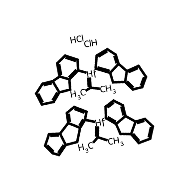 C[C](C)=[Hf]([c]1cccc2c1Cc1ccccc1-2)[c]1cccc2c1Cc1ccccc1-2.C[C](C)=[Hf]([c]1cccc2c1Cc1ccccc1-2)[c]1cccc2c1Cc1ccccc1-2.Cl.Cl